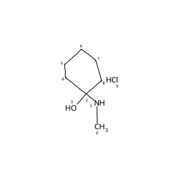 CNC1(O)CCCCC1.Cl